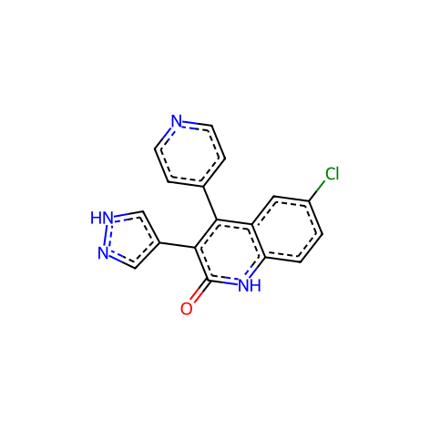 O=c1[nH]c2ccc(Cl)cc2c(-c2ccncc2)c1-c1cn[nH]c1